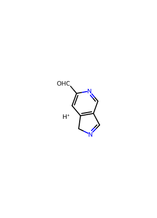 O=Cc1cc2c(cn1)C=NC2.[H+]